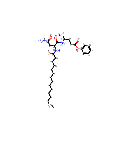 CCCCCCCCCCCCCC(=O)NC(CC(N)=O)C(=O)NC(C)CCC(=O)Oc1ccccc1